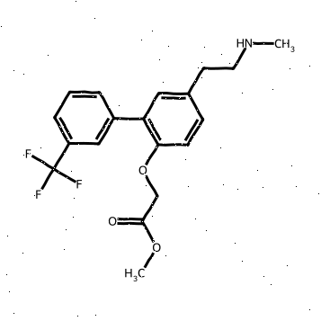 CNCCc1ccc(OCC(=O)OC)c(-c2cccc(C(F)(F)F)c2)c1